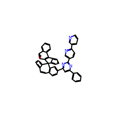 C1=Cc2ccc(-c3cc(-c4ccccc4)nc(-c4ccc(-c5cccnc5)nc4)n3)cc2C2(c3ccccc31)c1ccccc1-c1c2c2ccccc2c2ccccc12